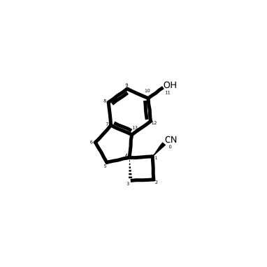 N#C[C@H]1CC[C@@]12CCc1ccc(O)cc12